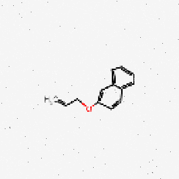 C=CCOc1ccc2ccccc2c1